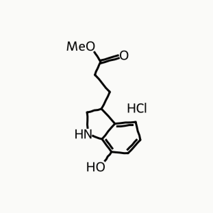 COC(=O)CCC1CNc2c(O)cccc21.Cl